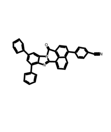 N#Cc1ccc(-c2ccc3c(=O)n4c5cc(-c6ccccc6)cc(-c6ccccc6)c5nc4c4cccc2c34)cc1